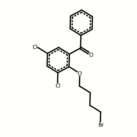 O=C(c1ccccc1)c1cc(Cl)cc(Cl)c1OCCCCBr